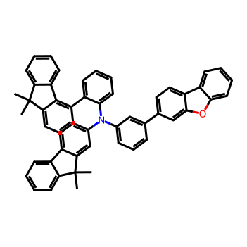 CC1(C)c2ccccc2-c2ccc(N(c3cccc(-c4ccc5c(c4)oc4ccccc45)c3)c3ccccc3-c3cccc4c3-c3ccccc3C4(C)C)cc21